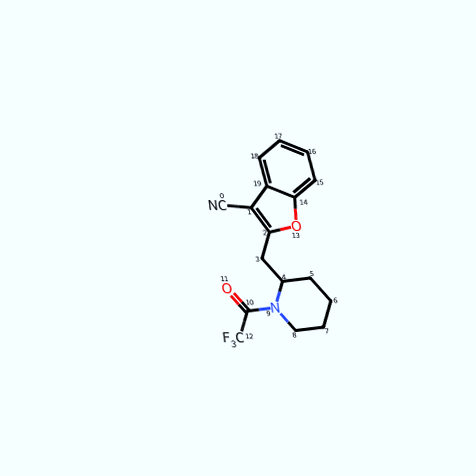 N#Cc1c(CC2CCCCN2C(=O)C(F)(F)F)oc2ccccc12